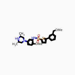 COCc1cccc(-c2ccc(S(=O)(=O)Nc3cc(N4C[C@@H](C)N[C@@H](C)C4)ccc3OC)s2)c1